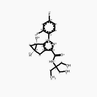 CCC(CO)(CO)NC(=O)c1nn(-c2ccc(F)cc2F)c2c1C[C@H]1C[C@@H]21